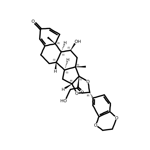 C[C@]12C=CC(=O)C=C1CC[C@@H]1[C@@H]2[C@@H](O)C[C@@]2(C)[C@H]1C[C@H]1O[C@@H](c3ccc4c(c3)OCCO4)O[C@]12C(=O)CO